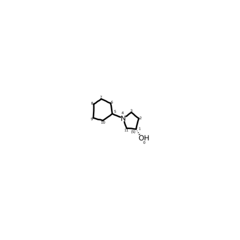 O[C@H]1CCN(C2CCCCC2)C1